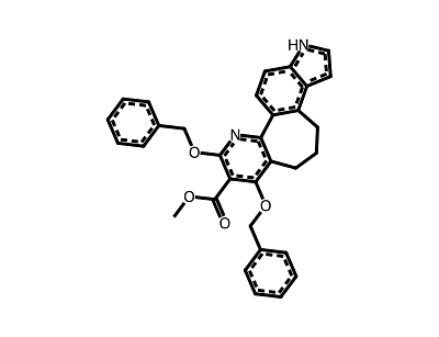 COC(=O)c1c(OCc2ccccc2)nc2c(c1OCc1ccccc1)CCCc1c-2ccc2[nH]ccc12